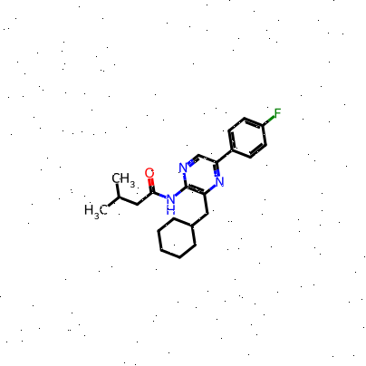 CC(C)CC(=O)Nc1ncc(-c2ccc(F)cc2)nc1CC1CCCCC1